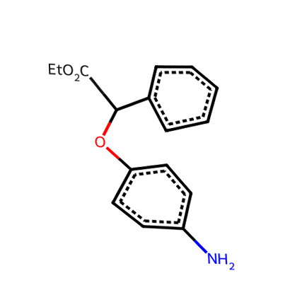 CCOC(=O)C(Oc1ccc(N)cc1)c1ccccc1